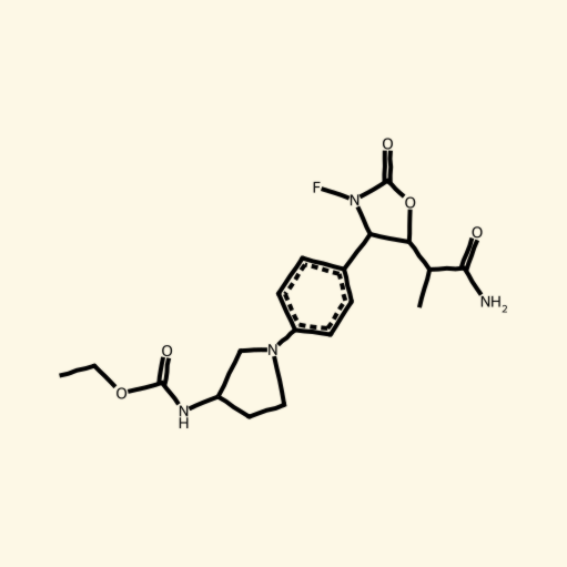 CCOC(=O)NC1CCN(c2ccc(C3C(C(C)C(N)=O)OC(=O)N3F)cc2)C1